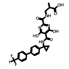 CC(CNC(=O)c1nc(O)c(C(=O)NC2(c3ccc(-c4ccc(C(F)(F)F)cc4)cc3)CC2)c(O)n1)C(=O)O